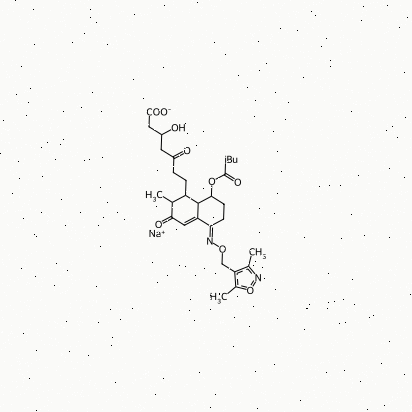 CCC(C)C(=O)OC1CCC(=NOCc2c(C)noc2C)C2=CC(=O)C(C)C(CCC(=O)CC(O)CC(=O)[O-])C21.[Na+]